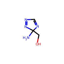 NC1(CO)N=CN=N1